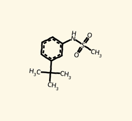 CC(C)(C)c1cccc(NS(C)(=O)=O)c1